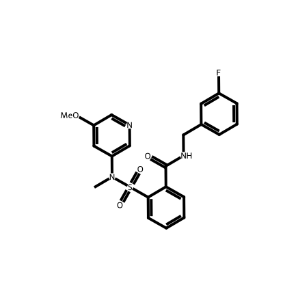 COc1cncc(N(C)S(=O)(=O)c2ccccc2C(=O)NCc2cccc(F)c2)c1